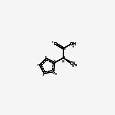 C[C@H](C(=O)O)c1cccs1